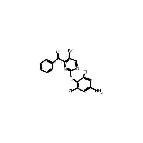 Nc1cc(Cl)c(Oc2ncc(Br)c(C(=O)c3ccccc3)n2)c(Cl)c1